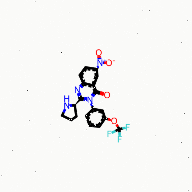 O=c1c2cc([N+](=O)[O-])ccc2nc([C@H]2CCCN2)n1-c1cccc(OC(F)(F)F)c1